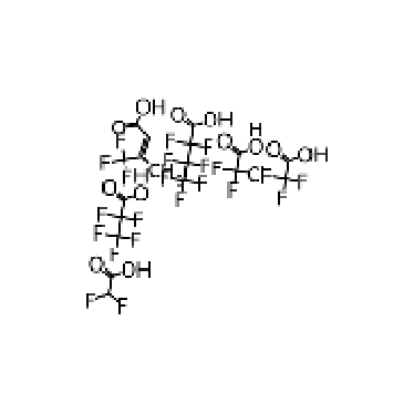 CC(=CC(=O)O)C(F)(F)F.O=C(O)C(F)(F)C(F)(F)C(F)(F)F.O=C(O)C(F)(F)C(F)(F)F.O=C(O)C(F)(F)Cl.O=C(O)C(F)(F)F.O=C(O)C(F)F